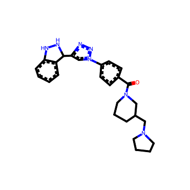 O=C(c1ccc(-n2cc(C3NNc4ccccc43)nn2)cc1)N1CCCC(CN2CCCC2)C1